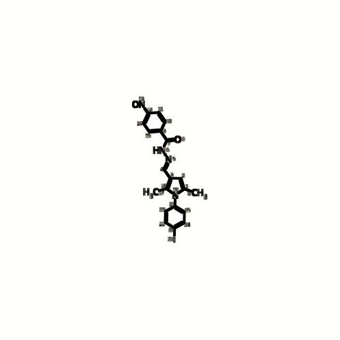 Cc1cc(/C=N/NC(=O)c2ccc(N=O)cc2)c(C)n1-c1ccc(I)cc1